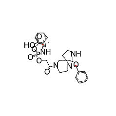 C[C@H](NP(=O)(OCC(=O)N1CCN(Cc2ccccc2)C2(CCNC2=O)C1)Oc1ccccc1)C(=O)O